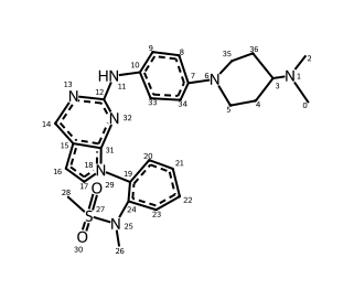 CN(C)C1CCN(c2ccc(Nc3ncc4ccn(-c5ccccc5N(C)S(C)(=O)=O)c4n3)cc2)CC1